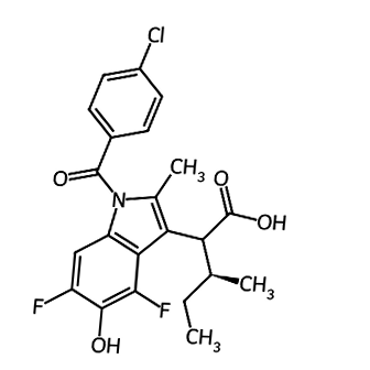 CC[C@H](C)C(C(=O)O)c1c(C)n(C(=O)c2ccc(Cl)cc2)c2cc(F)c(O)c(F)c12